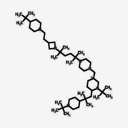 CC(C)(C)C1CCN(CCC2CN(C(C)(C)CCC(C)(C)N3CCN(C[C@@H]4CCC(CC(C)(C)C5CCN(C(C)(C)C)CC5)N(C(C)(C)C)C4)CC3)C2)CC1